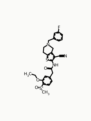 CCOc1cc(CC(=O)Nc2sc3c(c2C#N)CN(Cc2cccc(F)c2)CC3)ccc1[S+](C)[O-]